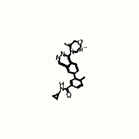 Cc1ccc(C(=O)NC2CC2)cc1-c1ccc2c(N3C[C@@H](C)OC[C@@H]3C)nncc2c1